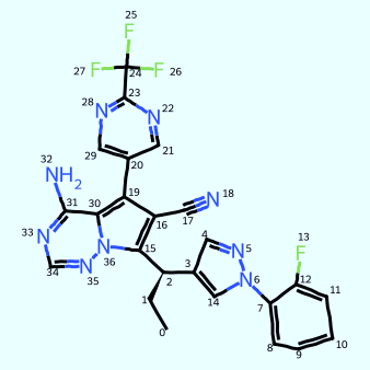 CC[C@H](c1cnn(-c2ccccc2F)c1)c1c(C#N)c(-c2cnc(C(F)(F)F)nc2)c2c(N)ncnn12